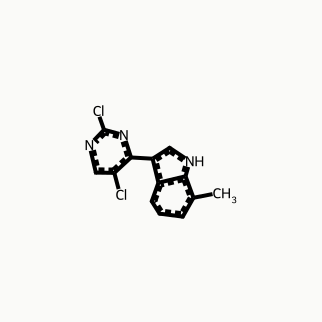 Cc1cccc2c(-c3nc(Cl)ncc3Cl)c[nH]c12